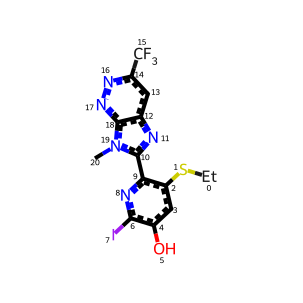 CCSc1cc(O)c(I)nc1-c1nc2cc(C(F)(F)F)nnc2n1C